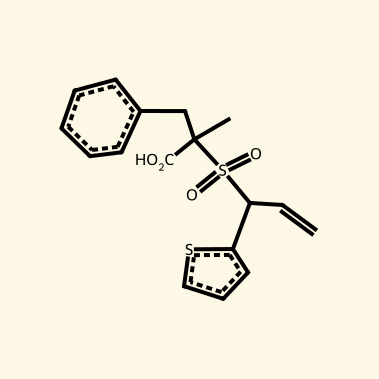 C=CC(c1cccs1)S(=O)(=O)C(C)(Cc1ccccc1)C(=O)O